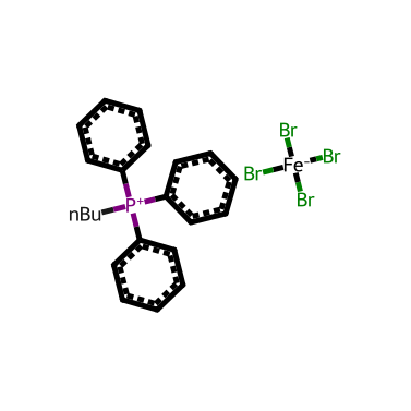 CCCC[P+](c1ccccc1)(c1ccccc1)c1ccccc1.[Br][Fe-]([Br])([Br])[Br]